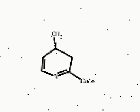 COC1=NC=CC(C)C1